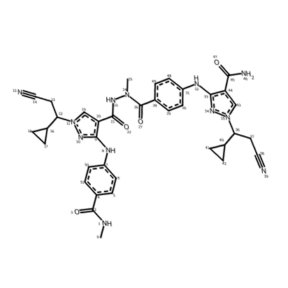 CNC(=O)c1ccc(Nc2nn(C(CC#N)C3CC3)cc2C(=O)NN(C)C(=O)c2ccc(Nc3nn(C(CC#N)C4CC4)cc3C(N)=O)cc2)cc1